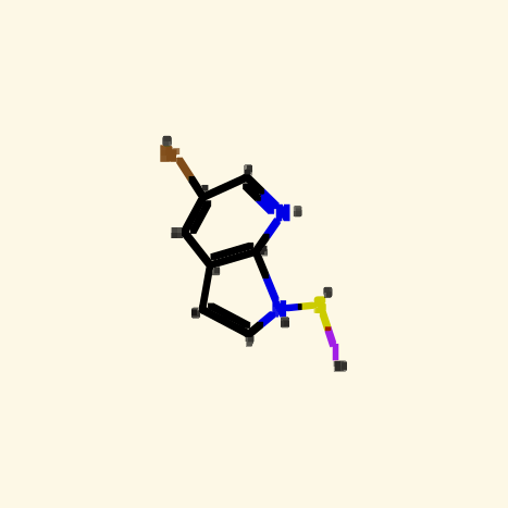 Brc1cnc2c(ccn2SI)c1